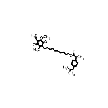 CCC1=C(OC)C(=O)C(CCCCCCCCCCOC(=O)[C@H](C)c2ccc(CC(C)C)cc2)=C(C)C1=O